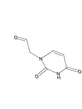 O=CCn1ccc(=O)[nH]c1=O